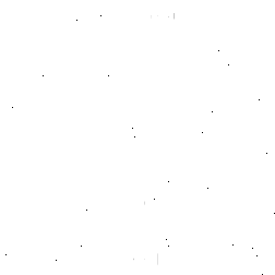 CCCCCCCCCCCCCCC1=C(/C=C\O)O1